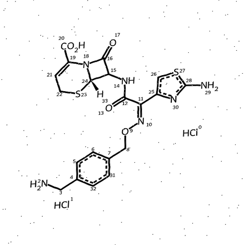 Cl.Cl.NCc1ccc(CO/N=C(\C(=O)NC2C(=O)N3C(C(=O)O)=CCS[C@@H]23)c2csc(N)n2)cc1